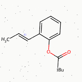 C/C=C/c1ccccc1OC(=O)C(C)(C)C